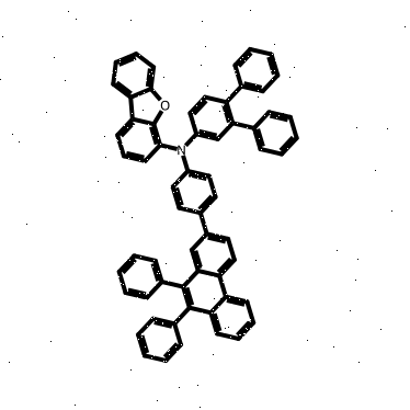 c1ccc(-c2ccc(N(c3ccc(-c4ccc5c(c4)c(-c4ccccc4)c(-c4ccccc4)c4ccccc45)cc3)c3cccc4c3oc3ccccc34)cc2-c2ccccc2)cc1